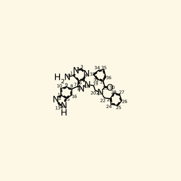 Nc1ncnc2c1c(-c1ccc3nc[nH]c3c1)nn2CCN(Cc1ccccc1)C(=O)c1ccccc1